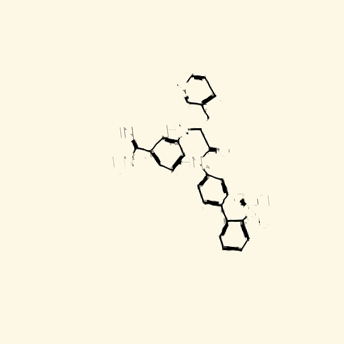 CS(=O)(=O)c1ccccc1-c1ccc(NC(=O)[C@H](Cc2cccnc2)Nc2cccc(C(=N)N)c2)cc1